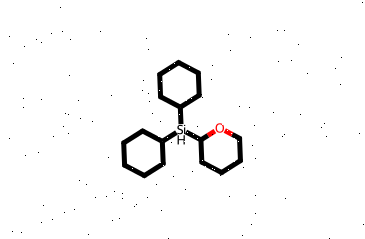 C1CCC([SiH](C2CCCCC2)C2CCCCO2)CC1